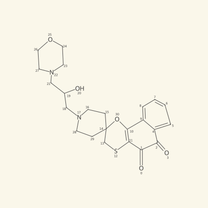 O=C1C(=O)c2ccccc2C2=C1SCC1(CCN(CC(O)CN3CCOCC3)CC1)O2